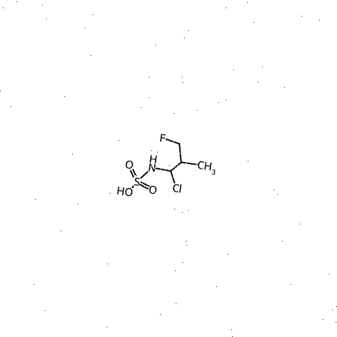 CC(CF)C(Cl)NS(=O)(=O)O